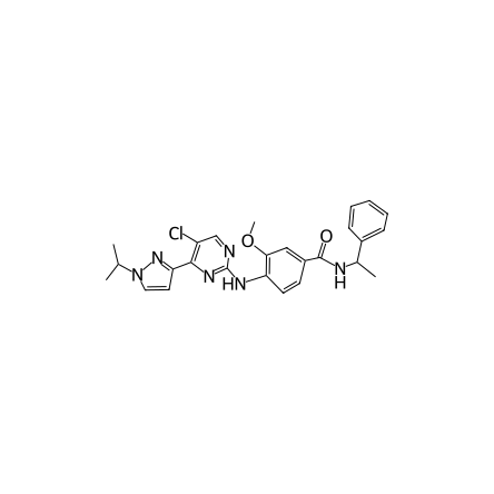 COc1cc(C(=O)NC(C)c2ccccc2)ccc1Nc1ncc(Cl)c(-c2ccn(C(C)C)n2)n1